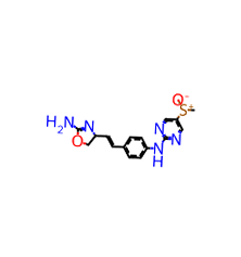 C[S+]([O-])c1cnc(Nc2ccc(C=CC3COC(N)=N3)cc2)nc1